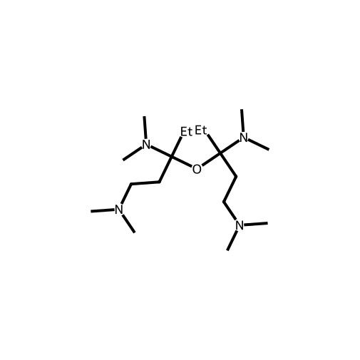 CCC(CCN(C)C)(OC(CC)(CCN(C)C)N(C)C)N(C)C